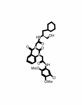 COc1cc(OC)c(NC(=O)Cn2c(=O)n(CC(=O)N[C@H](CO)CC3CCCCC3)c(=O)c3ccccc32)cc1Cl